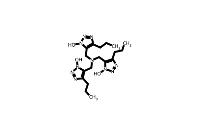 CCCc1nnn(O)c1CN(Cc1c(CCC)nnn1O)Cc1c(CCC)nnn1O